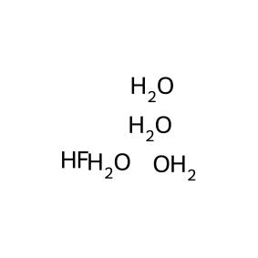 F.O.O.O.O